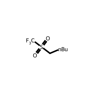 CCCCCS(=O)(=O)C(F)(F)F